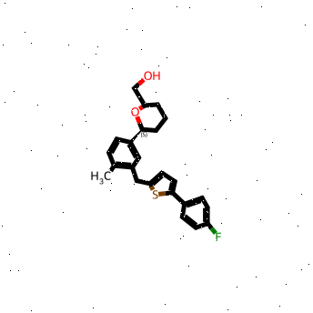 Cc1ccc([C@@H]2CCCC(CO)O2)cc1Cc1ccc(-c2ccc(F)cc2)s1